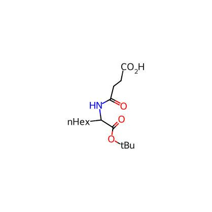 CCCCCCC(NC(=O)CCC(=O)O)C(=O)OC(C)(C)C